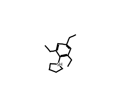 CCc1cc(CC)c([SH]2CCCC2)c(CC)c1